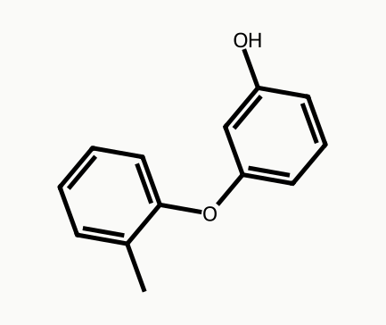 Cc1ccccc1Oc1cccc(O)c1